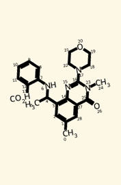 Cc1cc(C(C)Nc2ccccc2C(=O)O)c2nc(N3CCOCC3)n(C)c(=O)c2c1